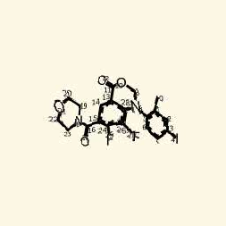 Cc1cc(I)ccc1N1COC(=O)c2cc(C(=O)N3CCOCC3)c(F)c(F)c21